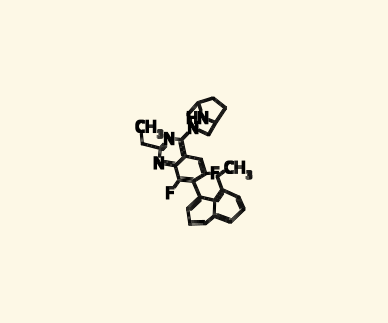 CCc1nc(N2CC3CCC(C2)N3)c2cc(F)c(-c3cccc4cccc(CC)c34)c(F)c2n1